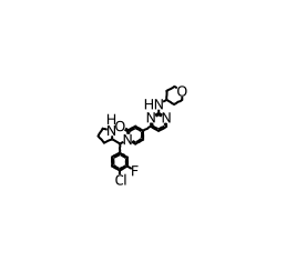 O=c1cc(-c2ccnc(NC3CCOCC3)n2)ccn1C(c1ccc(Cl)c(F)c1)C1CCCN1